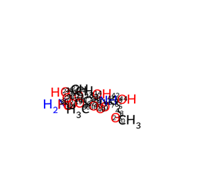 CC(=O)/C=C/Cc1cc(C(=O)Nc2c(O)c3ccc(O[C@@H]4OC(C)(C)[C@H](CO)[C@@H](OC(N)=O)[C@H]4O)c(C)c3oc2=O)ccc1O